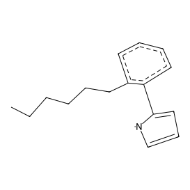 CCCCCCc1ccccc1C1=CC=C[N]1